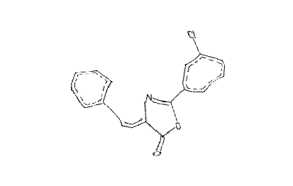 O=C1OC(c2cccc(Cl)c2)=NC1=Cc1ccccc1